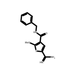 CSc1sc(C(=N)N)cc1C(=O)NCc1ccccc1